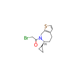 O=C(CBr)N1Cc2sccc2CC[C@H]1C1CC1